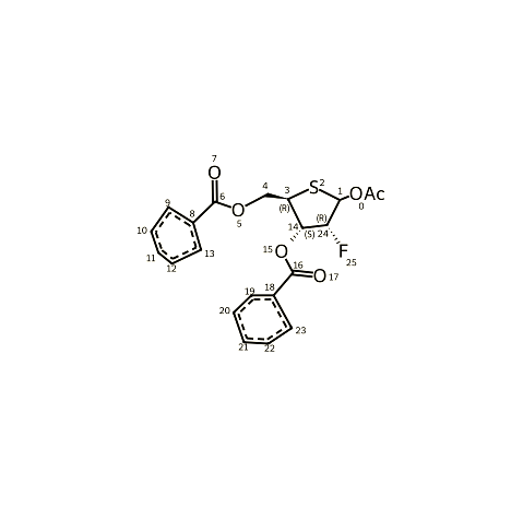 CC(=O)OC1S[C@H](COC(=O)c2ccccc2)[C@@H](OC(=O)c2ccccc2)[C@H]1F